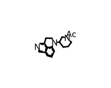 CC(=O)N1CCCC(N2CCc3cncc4cccc2c34)C1